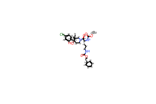 CC(C)(C)OC(=O)N[C@H](CCCNC(=O)OCc1ccccc1)C(=O)N1CC[C@](O)(c2ccc(Cl)cc2)C(C)(C)C1